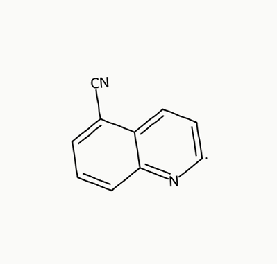 N#Cc1cccc2n[c]ccc12